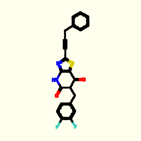 O=C1Nc2nc(C#CCc3ccccc3)sc2C(=O)C1Cc1ccc(F)c(F)c1